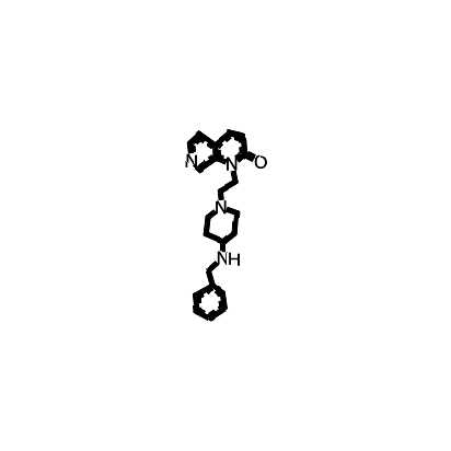 O=c1ccc2ccncc2n1CCN1CCC(NCc2ccccc2)CC1